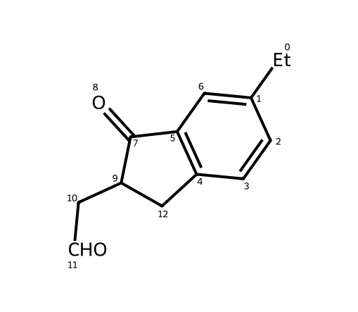 CCc1ccc2c(c1)C(=O)C(CC=O)C2